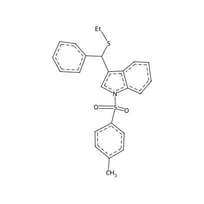 CCSC(c1ccccc1)c1cn(S(=O)(=O)c2ccc(C)cc2)c2ccccc12